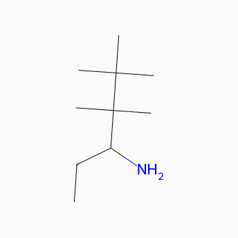 CCC(N)C(C)(C)C(C)(C)C